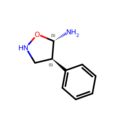 N[C@H]1ONC[C@@H]1c1ccccc1